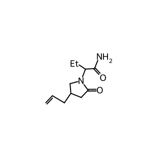 C=CCC1CC(=O)N(C(CC)C(N)=O)C1